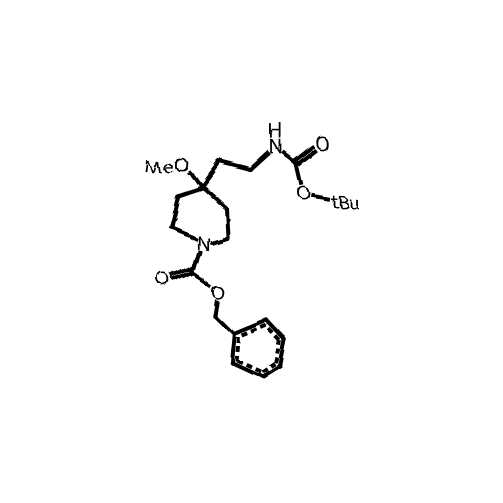 COC1(CCNC(=O)OC(C)(C)C)CCN(C(=O)OCc2ccccc2)CC1